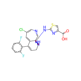 O=C(O)c1csc(NC2=NC=C3CC=C(c4c(F)cccc4F)C4=CC(Cl)=CN=CC34N2)n1